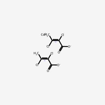 C/C(Cl)=C(\Cl)C(=O)[O-].C/C(Cl)=C(\Cl)C(=O)[O-].[Cd+2]